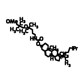 COCC(C)(C)COC(C)(C)CCCNC(=O)O[C@H]1CC[C@@]2(C)C(=CC[C@@H]3C2CC[C@@]2(C)C3CC[C@@H]2[C@H](C)CCCC(C)C)C1